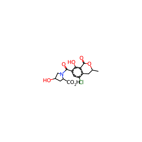 CC1Cc2c(Cl)cc(C(=O)N3CC(O)CC3C(=O)O)c(O)c2C(=O)O1